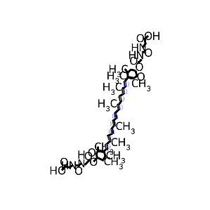 CC1=C(/C=C/C(C)=C/C=C/C(C)=C/C=C/C=C(C)/C=C/C=C(C)/C=C/C2=C(C)C(=O)C(OC(=O)CNC(=O)NCC(=O)O)CC2(C)C)C(C)(C)CC(OC(=O)CNC(=O)NCC(=O)O)C1=O